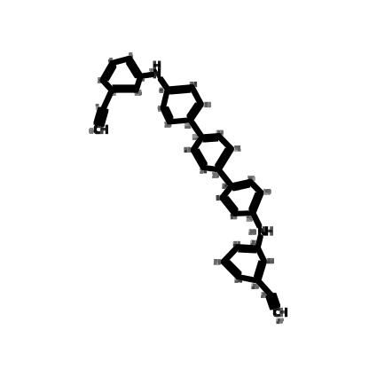 C#Cc1cccc(Nc2ccc(-c3ccc(-c4ccc(Nc5cccc(C#C)c5)cc4)cc3)cc2)c1